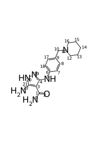 NC(=O)c1c(Nc2ccc(CN3CCCCC3)cc2)n[nH]c1N